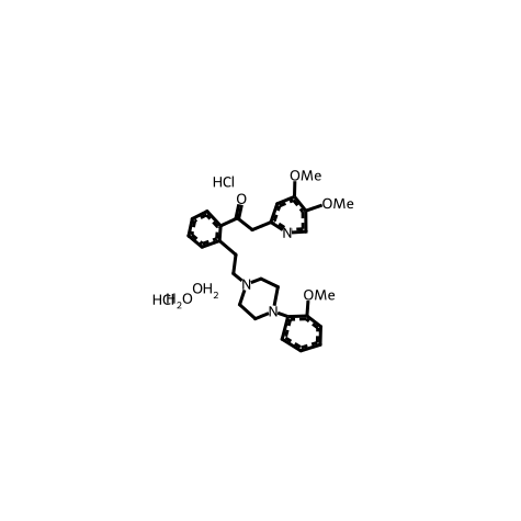 COc1cnc(CC(=O)c2ccccc2CCN2CCN(c3ccccc3OC)CC2)cc1OC.Cl.Cl.O.O